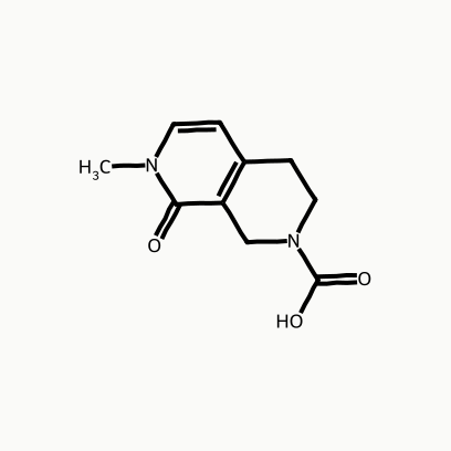 Cn1ccc2c(c1=O)CN(C(=O)O)CC2